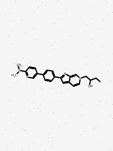 CN(C)c1ccc(-c2ccc(-c3cc4ccn(CC(O)CF)cc-4n3)cc2)cn1